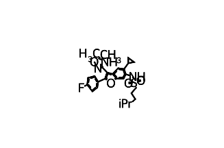 CC(C)CCCS(=O)(=O)Nc1cc2oc(-c3ccc(F)cc3)c(C3=NOC(C)(C)N3)c2cc1C1CC1